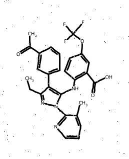 CCc1nn(-c2ncccc2C)c(Nc2ccc(OC(F)(F)F)cc2C(=O)O)c1-c1cccc(C(C)=O)c1